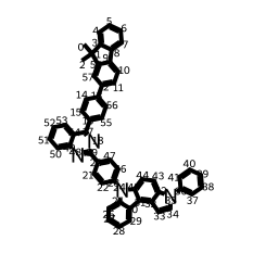 CC1(C)c2ccccc2-c2ccc(-c3ccc(-c4nc(-c5ccc(-n6c7ccccc7c7c8ccn(-c9ccccc9)c8ccc76)cc5)nc5ccccc45)cc3)cc21